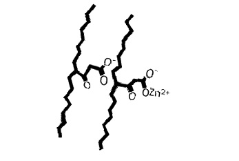 CCCCCCCCC(CCCCCCCC)C(=O)CC(=O)[O-].CCCCCCCCC(CCCCCCCC)C(=O)CC(=O)[O-].[Zn+2]